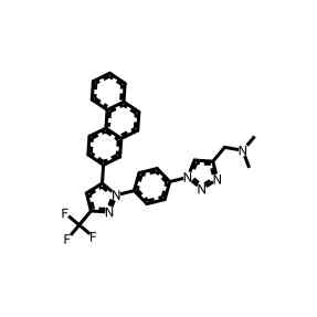 CN(C)Cc1cn(-c2ccc(-n3nc(C(F)(F)F)cc3-c3ccc4c(ccc5ccccc54)c3)cc2)nn1